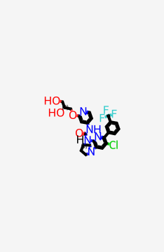 O=C(Nc1ccnc(OC[C@H](O)CO)c1)N1c2nc(-c3cccc(C(F)(F)F)c3)c(Cl)cc2N2CC[C@H]1C2